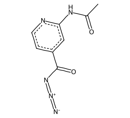 CC(=O)Nc1cc(C(=O)N=[N+]=[N-])ccn1